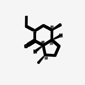 CCN1C[C@@H](C)[C@H]2CC[C@H](C)[C@H]2C1=O